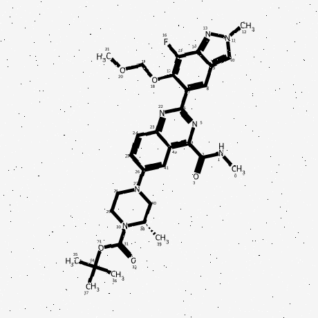 CNC(=O)c1nc(-c2cc3cn(C)nc3c(F)c2OCOC)nc2ccc(N3CCN(C(=O)OC(C)(C)C)[C@@H](C)C3)cc12